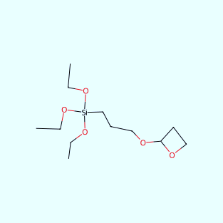 CCO[Si](CCCOC1CCO1)(OCC)OCC